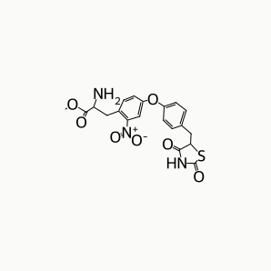 COC(=O)C(N)Cc1ccc(Oc2ccc(CC3SC(=O)NC3=O)cc2)cc1[N+](=O)[O-]